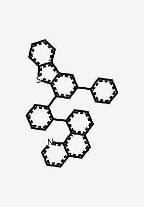 c1ccc(-c2cc(-c3ccccc3-c3cccc4ccc5cccnc5c34)c3sc4ccccc4c3c2)cc1